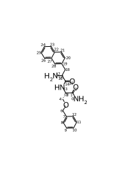 NC(=O)[C@H](COCc1ccccc1)NC(=O)[C@@H](N)Cc1ccc2ccccc2c1